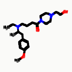 CCN(CCCC(=O)N1CCN(CCO)CC1)C(C)Cc1ccc(OC)cc1